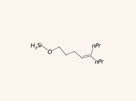 CCCC(=CCCCO[SiH3])CCC